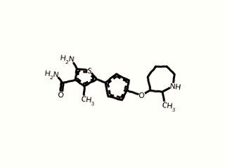 Cc1c(-c2ccc(OC3CCCCNC3C)cc2)sc(N)c1C(N)=O